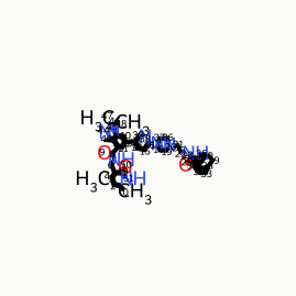 Cc1cc(C)c(CNC(=O)c2cc(-c3ccc(N4CCN(CCNC(=O)C56CC7CC(CC(C7)C5)C6)CC4)nc3)cc3c2cnn3C(C)C)c(=O)[nH]1